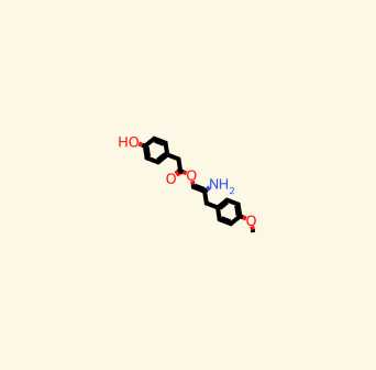 COc1ccc(C/C(N)=C/OC(=O)Cc2ccc(O)cc2)cc1